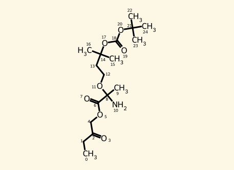 CCC(=O)COC(=O)C(C)(N)OCCC(C)(C)OC(=O)OC(C)(C)C